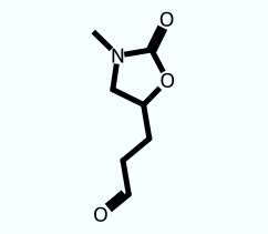 CN1CC(CCC=O)OC1=O